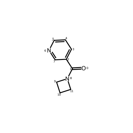 O=C(c1cc[c]nc1)N1CCC1